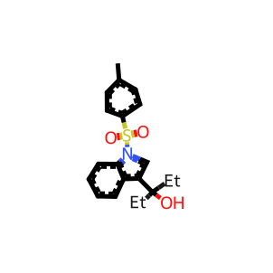 CCC(O)(CC)c1cn(S(=O)(=O)c2ccc(C)cc2)c2ccccc12